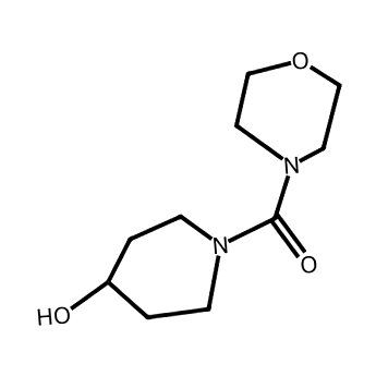 O=C(N1CCOCC1)N1CCC(O)CC1